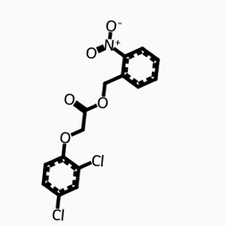 O=C(COc1ccc(Cl)cc1Cl)OCc1ccccc1[N+](=O)[O-]